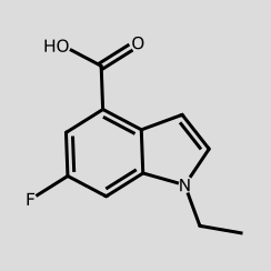 CCn1ccc2c(C(=O)O)cc(F)cc21